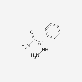 NN[C@H](C(N)=O)c1ccccc1